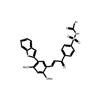 COc1cc(OC)c(-c2cc3ccccc3s2)cc1C=CC(=O)c1ccc(S(=O)(=O)NC(=O)C(C)C)cc1